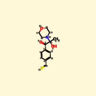 CC(O)(C(=O)c1ccc(C=S)cc1)N1CCOCC1